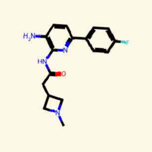 CN1CC(CC(=O)Nc2nc(-c3ccc(F)cc3)ccc2N)C1